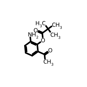 CC(=O)c1cccc(N)c1OC(=O)C(C)(C)C